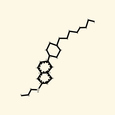 CCCCCCCCC1CCC(c2ccc3cc(OCCC)ccc3c2)CC1